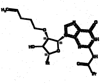 C=CCCCO[C@H]1C(O)[C@@H](CC)O[C@H]1n1cnc2c(=O)[nH]c(NC(=O)C(C)C)nc21